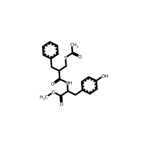 COC(=O)C(Cc1ccc(O)cc1)NC(=O)C(CSC(C)=O)Cc1ccccc1